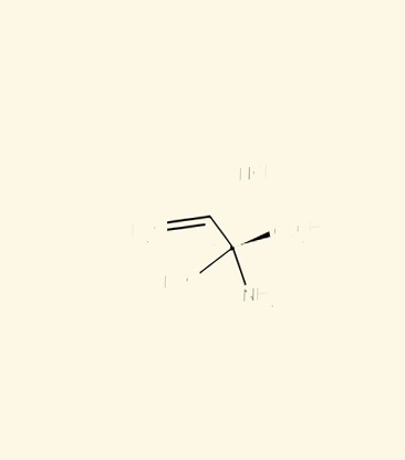 C=C[C@@](C)(N)C(=O)O.Cl